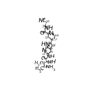 C/C(N)=C(\C)C(=N)C(=O)Nc1cnc2[nH]c(-c3ccnc(C(=O)NCCC#N)c3)cc2c1